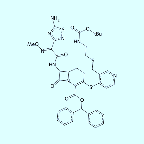 CON=C(C(=O)NC1C(=O)N2C(C(=O)OC(c3ccccc3)c3ccccc3)=C(Sc3ccncc3CSCCNC(=O)OC(C)(C)C)CCC12)c1nsc(N)n1